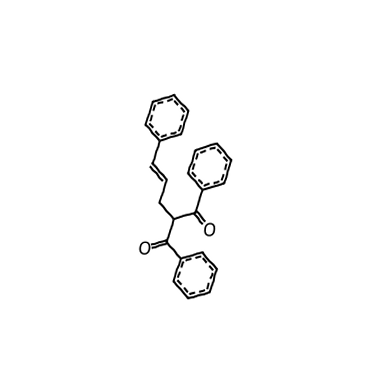 O=C(c1ccccc1)C(CC=Cc1ccccc1)C(=O)c1ccccc1